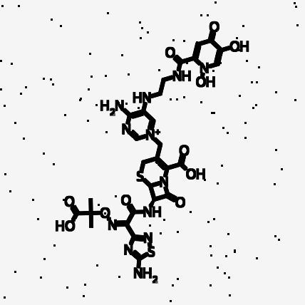 CC(C)(O/N=C(\C(=O)N[C@@H]1C(=O)N2C(C(=O)O)=C(C[n+]3cnc(N)c(NCCNC(=O)c4cc(=O)c(O)cn4O)c3)CSC12)c1nsc(N)n1)C(=O)O